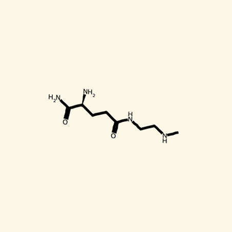 CNCCNC(=O)CC[C@H](N)C(N)=O